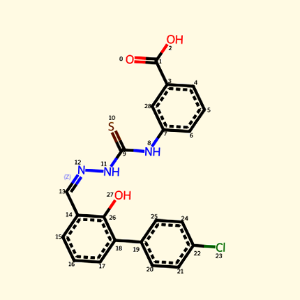 O=C(O)c1cccc(NC(=S)N/N=C\c2cccc(-c3ccc(Cl)cc3)c2O)c1